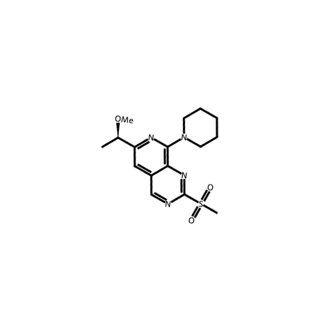 CO[C@H](C)c1cc2cnc(S(C)(=O)=O)nc2c(N2CCCCC2)n1